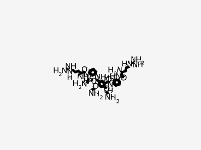 N=C(N)NCCCC(N)C(=O)Nc1cccc(NC(=O)c2cc(C(=O)Nc3cccc(NC(=O)[C@H](N)CCCNC(=N)N)c3SCCN)c(OCCN)cc2OCCN)c1S